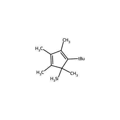 CC1=C(C)C(C)([SiH3])C(C(C)(C)C)=C1C